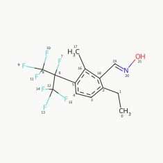 CCc1ccc(C(F)(C(F)(F)F)C(F)(F)F)c(C)c1C=NO